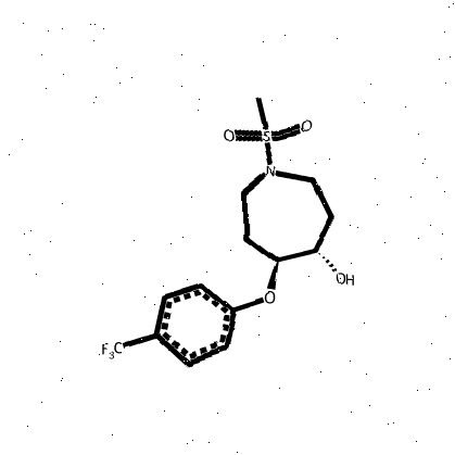 CS(=O)(=O)N1CC[C@H](Oc2ccc(C(F)(F)F)cc2)[C@@H](O)CC1